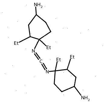 CCC1CC(N)CCC1(CC)N=C=NC1(CC)CCC(N)CC1CC